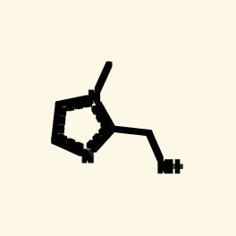 Cn1ccnc1C[NH]